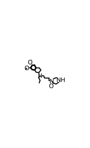 CCCN(CCCCN1CCNCCC1=O)C1CCc2cc(OC)c(OC)cc2C1